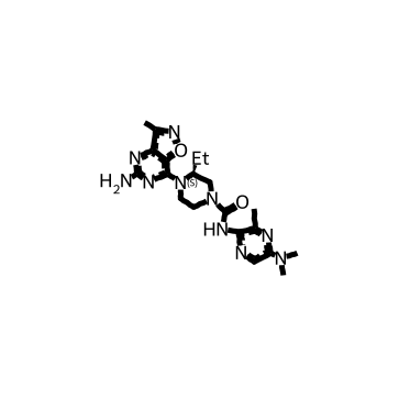 CC[C@H]1CN(C(=O)Nc2ncc(N(C)C)nc2C)CCN1c1nc(N)nc2c(C)noc12